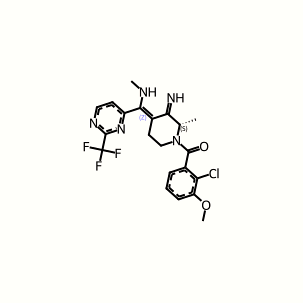 CN/C(=C1/CCN(C(=O)c2cccc(OC)c2Cl)[C@@H](C)C1=N)c1ccnc(C(F)(F)F)n1